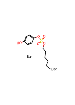 CCCCCCCCCCCCCCCOS(=O)(=O)Oc1ccc(O)cc1.[Na]